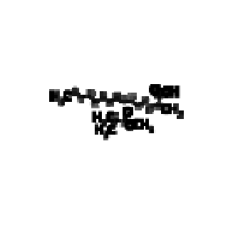 C=C(C)C(=O)OC.CCCCCCCCCCCCC=C(C)C(=O)O